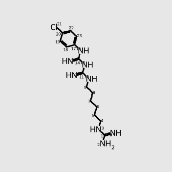 N=C(N)NCCCCCCNC(=N)NC(=N)Nc1ccc(Cl)cc1